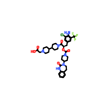 Nc1c(Cl)cc(C[C@@H](OC(=O)N2CCC(N3CCc4ccccc4NC3=O)CC2)C(=O)N2CCC(C3CCN(CC(=O)O)CC3)CC2)cc1C(F)(F)F